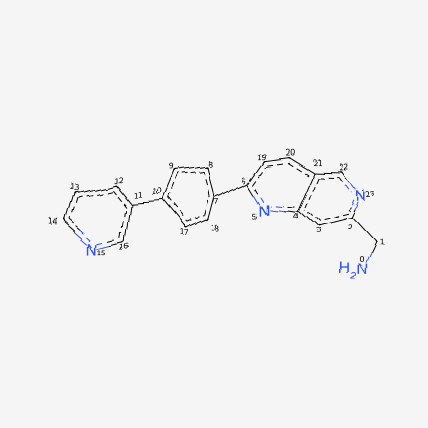 NCc1cc2nc(-c3ccc(-c4cccnc4)cc3)ccc2cn1